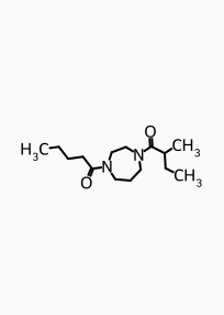 CCCCC(=O)N1CCCN(C(=O)C(C)CC)CC1